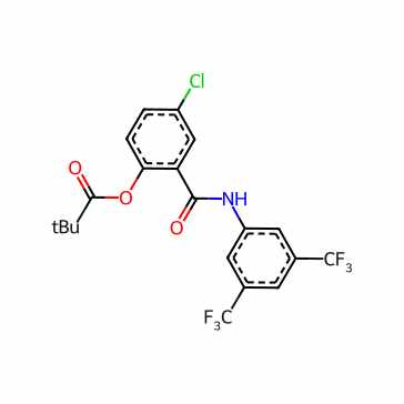 CC(C)(C)C(=O)Oc1ccc(Cl)cc1C(=O)Nc1cc(C(F)(F)F)cc(C(F)(F)F)c1